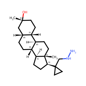 C[C@@]1(O)CC[C@H]2[C@H](CC[C@@H]3[C@@H]2CC[C@]2(C)[C@@H](C4(CNN)CC4)CC[C@@H]32)C1